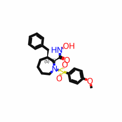 COc1ccc(S(=O)(=O)N2CCCC[C@@H](Cc3ccccc3)[C@H]2C(=O)NO)cc1